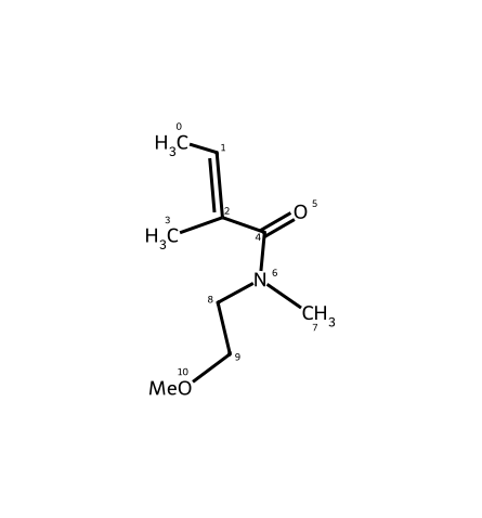 C/C=C(\C)C(=O)N(C)CCOC